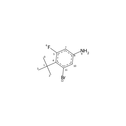 CC(C)(C)c1c(F)cc(N)cc1Br